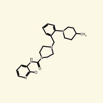 CC1CCN(c2ccccc2CN2CCN(C(=O)Nc3cccnc3Cl)CC2)CC1